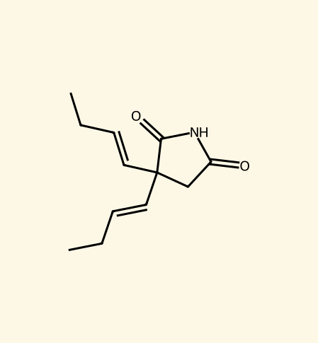 CCC=CC1(C=CCC)CC(=O)NC1=O